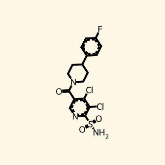 NS(=O)(=O)c1ncc(C(=O)N2CCC(c3ccc(F)cc3)CC2)c(Cl)c1Cl